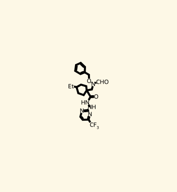 CCC1CCC(CN(C=O)OCc2ccccc2)(C(=O)NNc2nccc(C(F)(F)F)n2)CC1